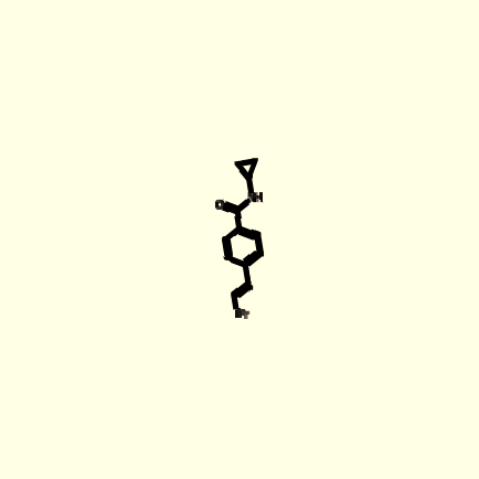 CC(C)/C=C/c1ccc(C(=O)NC2CC2)cc1